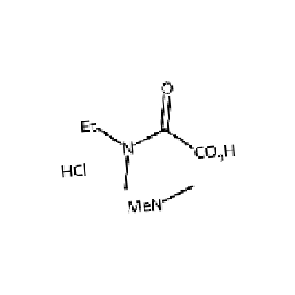 CCN(C)C(=O)C(=O)O.CNC.Cl